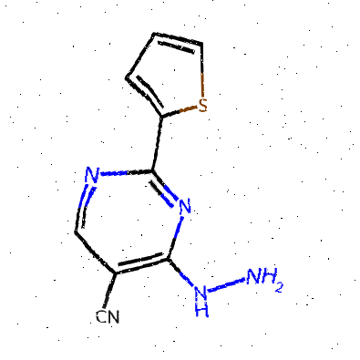 N#Cc1cnc(-c2cccs2)nc1NN